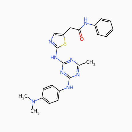 Cc1nc(Nc2ccc(N(C)C)cc2)nc(Nc2ncc(CC(=O)Nc3ccccc3)s2)n1